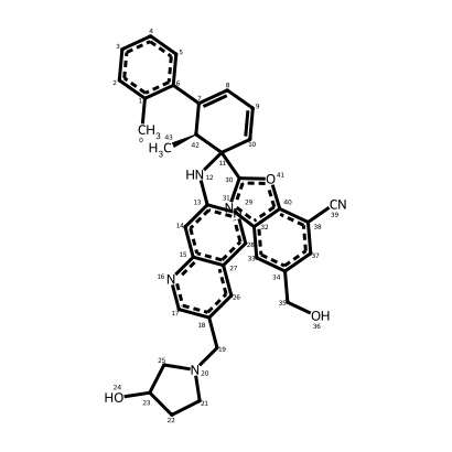 Cc1ccccc1C1=CC=CC(Nc2cc3ncc(CN4CCC(O)C4)cc3cn2)(c2nc3cc(CO)cc(C#N)c3o2)[C@H]1C